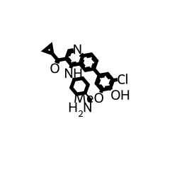 COc1cc(-c2ccc3ncc(C(=O)C4CC4)c(N[C@H]4CC[C@H](CN)CC4)c3c2)cc(Cl)c1O